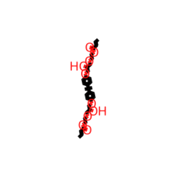 CC=CC(=O)OCCOCC(O)COc1ccc(C(C)(C)c2ccc(OCC(O)COCCOC(=O)C=CC)cc2)cc1